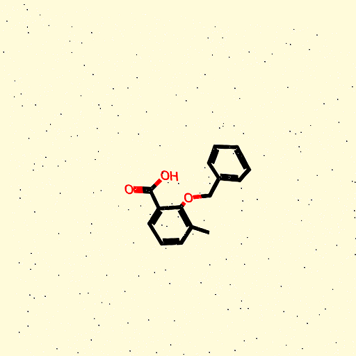 Cc1cccc(C(=O)O)c1OCc1ccccc1